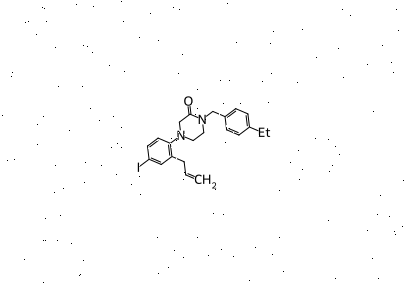 C=CCc1cc(I)ccc1N1CCN(Cc2ccc(CC)cc2)C(=O)C1